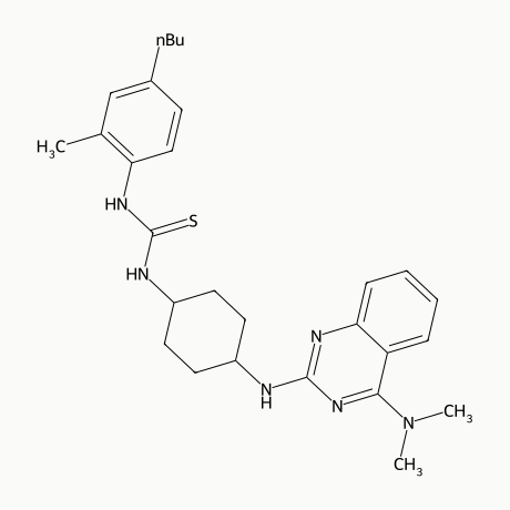 CCCCc1ccc(NC(=S)NC2CCC(Nc3nc(N(C)C)c4ccccc4n3)CC2)c(C)c1